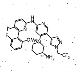 COc1cccc(F)c1-c1nc(Nc2cc(N3CCC[C@H](N)C3)c(-c3cnn(CC(F)(F)F)c3)cn2)ccc1F